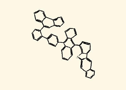 c1ccc(-c2cc3ccccc3c3ccccc23)c(-c2ccc(-c3c4ccccc4c(-c4cccc5c4sc4cc6ccccc6cc45)c4ccccc34)cc2)c1